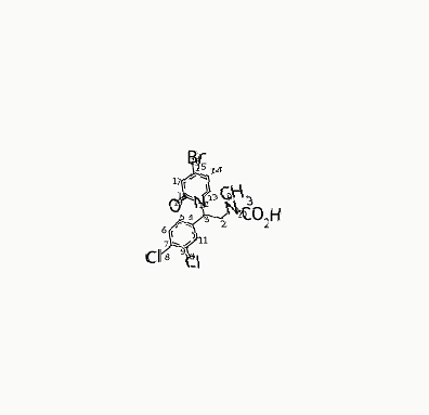 CN(CC(c1ccc(Cl)c(Cl)c1)n1ccc(Br)cc1=O)C(=O)O